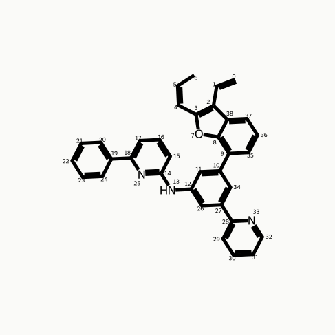 C=Cc1c(/C=C\C)oc2c(-c3cc(Nc4cccc(-c5ccccc5)n4)cc(-c4ccccn4)c3)cccc12